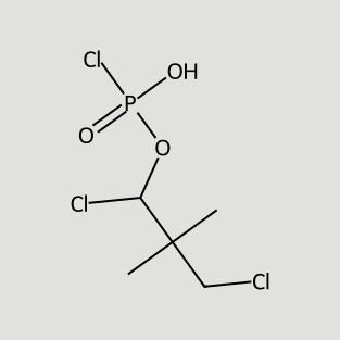 CC(C)(CCl)C(Cl)OP(=O)(O)Cl